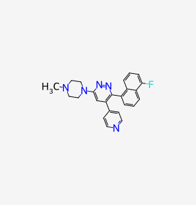 CN1CCN(c2cc(-c3ccncc3)c(-c3cccc4c(F)cccc34)nn2)CC1